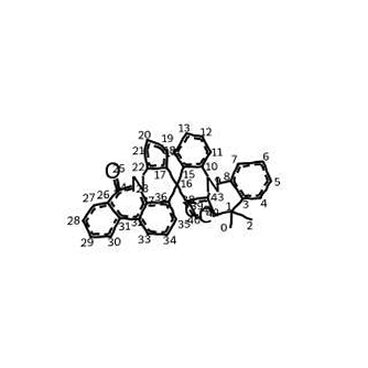 CC1(C)c2ccccc2N2c3ccccc3C3(c4ccccc4-n4c(=O)c5ccccc5c5cccc3c54)c3cccc1c32